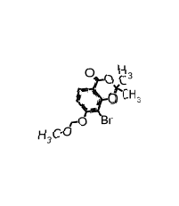 COCOc1ccc2c(c1Br)OC(C)(C)OC2=O